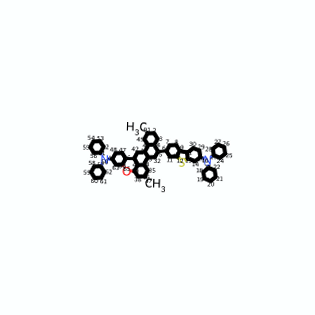 Cc1ccc2c(-c3ccc4c(c3)sc3cc(N(c5ccccc5)c5ccccc5)ccc34)cc3c4cc(C)cc5c4c(cc3c2c1)-c1ccc(N(c2ccccc2)c2ccccc2)cc1O5